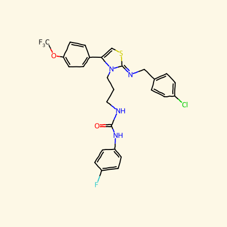 O=C(NCCCn1c(-c2ccc(OC(F)(F)F)cc2)cs/c1=N\Cc1ccc(Cl)cc1)Nc1ccc(F)cc1